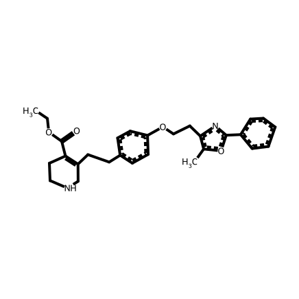 CCOC(=O)C1=C(CCc2ccc(OCCc3nc(-c4ccccc4)oc3C)cc2)CNCC1